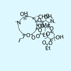 C=CC[C@H]1CCCN(C)C[C@H](O)[C@H](C)C[C@H](CC=O)[C@H](O[C@@H]2OC(C)[C@@H](O[C@H]3CC(C)(O)[C@@H](OC(=O)CC)C(C)O3)C(N(C)C)C2O)[C@@H](OC)[C@H](OC(=O)CC)CC(=O)O1